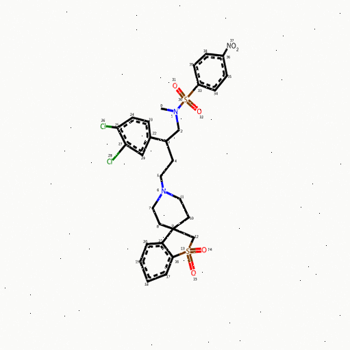 CN(CC(CCN1CCC2(CC1)CS(=O)(=O)c1ccccc12)c1ccc(Cl)c(Cl)c1)S(=O)(=O)c1ccc([N+](=O)[O-])cc1